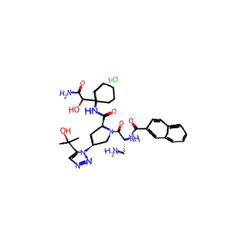 CC(C)(O)c1cnnn1[C@H]1C[C@@H](C(=O)NC2(C(O)C(N)=O)CCCCC2)N(C(=O)[C@@H](CN)NC(=O)c2ccc3ccccc3c2)C1.Cl